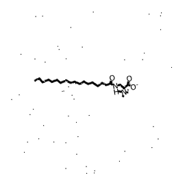 CCCCCCCCCCCCCCCCCC(=O)NCC(C(=O)[O-])[N+](C)(C)C